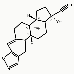 C#C[C@]1(O)CC[C@@H]2C1CC[C@@H]1C3Cc4cnoc4C=C3CC[C@H]12